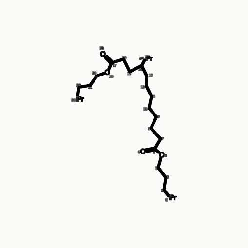 CC(C)CCCOC(=O)CCCCCCCC(CCC(=O)OCCCC(C)C)C(C)C